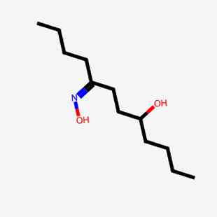 CCCCC(CCC(O)CCCC)=NO